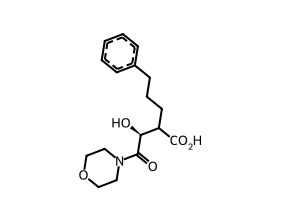 O=C(O)C(CCCc1ccccc1)[C@H](O)C(=O)N1CCOCC1